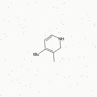 CC1=C(C(C)(C)C)C=CNC1